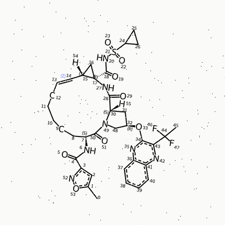 Cc1cc(C(=O)N[C@H]2CCCCC/C=C\[C@@H]3C[C@@]3(C(=O)NS(=O)(=O)C3CC3)NC(=O)[C@@H]3C[C@@H](Oc4nc5ccccc5nc4C(C)(F)F)CN3C2=O)no1